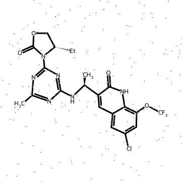 CC[C@H]1COC(=O)N1c1nc(C)nc(N[C@@H](C)c2cc3cc(Cl)cc(OC(F)(F)F)c3[nH]c2=O)n1